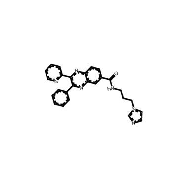 O=C(NCCCn1ccnc1)c1ccc2nc(-c3ccccn3)c(-c3ccccc3)nc2c1